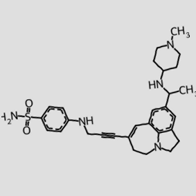 CC(NC1CCN(C)CC1)c1cc2c3c(c1)CCN3CCC(C#CCNc1ccc(S(N)(=O)=O)cc1)=C2